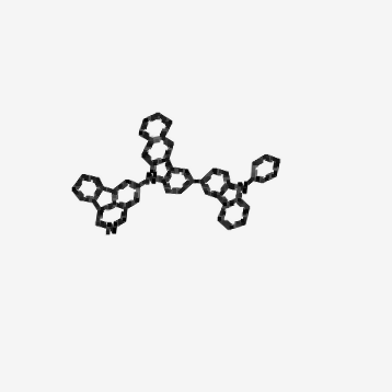 c1ccc(-n2c3ccccc3c3cc(-c4ccc5c(c4)c4cc6ccccc6cc4n5-c4cc5c6c(cncc6c4)-c4ccccc4-5)ccc32)cc1